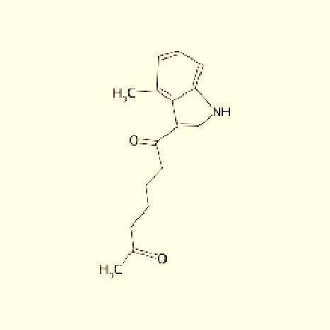 CC(=O)CCCCC(=O)c1c[nH]c2cccc(C)c12